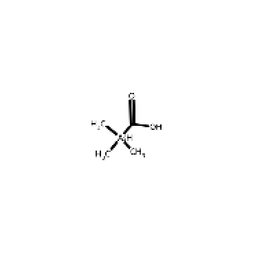 C[AsH](C)(C)C(=O)O